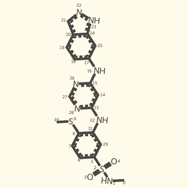 CNS(=O)(=O)c1ccc(SC)c(Nc2cc(Nc3ccc4cn[nH]c4c3)ncn2)c1